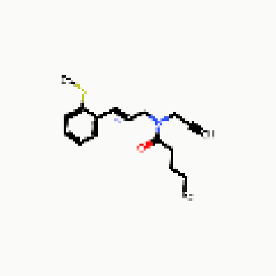 C#CCN(C/C=C/c1ccccc1SCC)C(=O)CCCC(C)=O